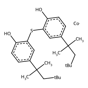 CC(C)(C)CC(C)(C)c1ccc(O)c(Sc2cc(C(C)(C)CC(C)(C)C)ccc2O)c1.[Co]